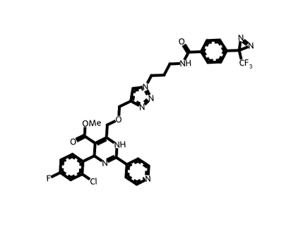 COC(=O)C1=C(COCc2cn(CCCNC(=O)c3ccc(C4(C(F)(F)F)N=N4)cc3)nn2)NC(c2ccncc2)=NC1c1ccc(F)cc1Cl